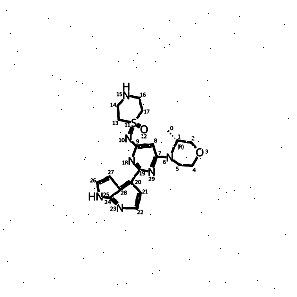 C[C@@H]1COCCN1c1cc(N=S2(=O)CCNCC2)nc(-c2ccnc3[nH]ccc23)n1